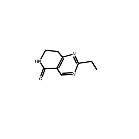 CCc1ncc2c(n1)CCNC2=O